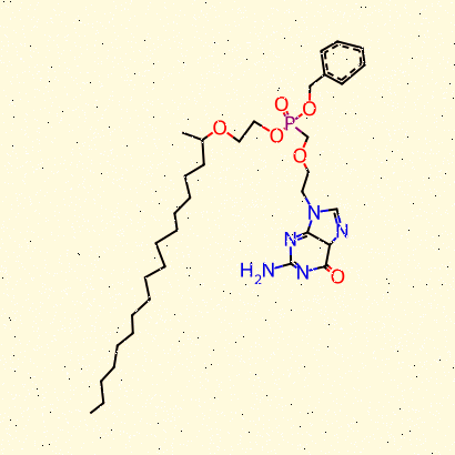 CCCCCCCCCCCCCCCCC(C)OCCOP(=O)(COCCN1C=NC2C(=O)N=C(N)N=C21)OCc1ccccc1